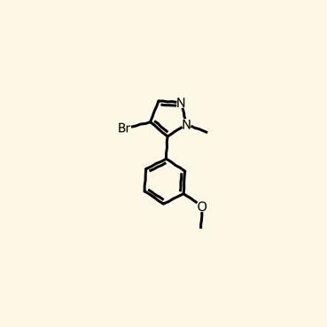 COc1cccc(-c2c(Br)cnn2C)c1